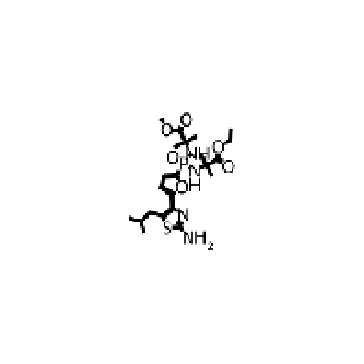 CCOC(=O)C(C)(C)NP(=O)(NC(C)(C)C(=O)OC)c1ccc(-c2nc(N)sc2CC(C)C)o1